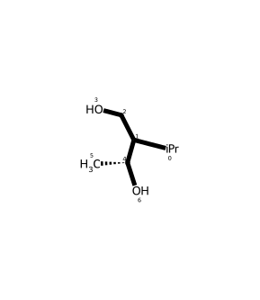 CC(C)C(CO)[C@@H](C)O